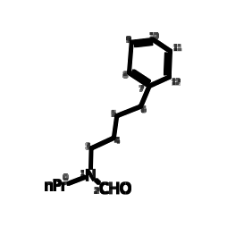 CCCN(C=O)CCCCc1ccccc1